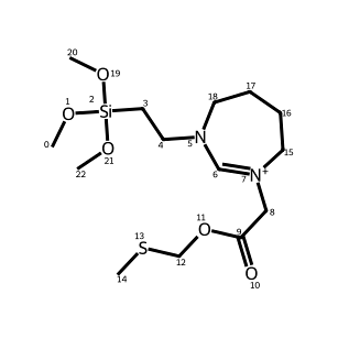 CO[Si](CCN1C=[N+](CC(=O)OCSC)CCCC1)(OC)OC